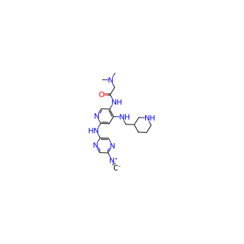 [C-]#[N+]c1cnc(Nc2cc(NCC3CCCNC3)c(NC(=O)CN(C)C)cn2)cn1